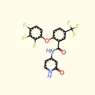 O=C(Nc1cc[nH]c(=O)c1)c1cc(C(F)(F)F)ccc1Oc1ccc(F)c(F)c1F